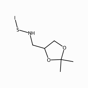 CC1(C)OCC(CNSI)O1